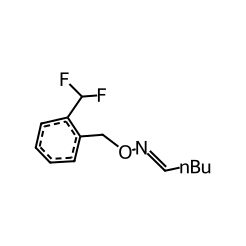 CCCCC=NOCc1ccccc1C(F)F